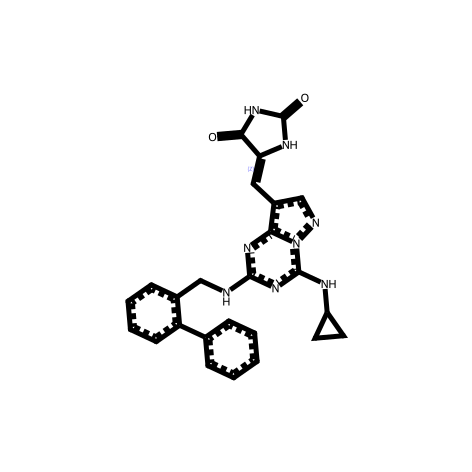 O=C1NC(=O)/C(=C/c2cnn3c(NC4CC4)nc(NCc4ccccc4-c4ccccc4)nc23)N1